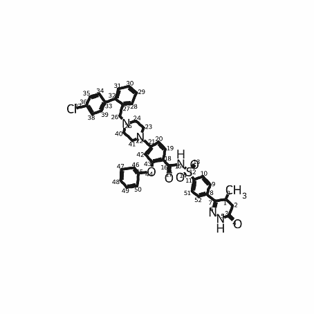 CC1CC(=O)NN=C1c1ccc(S(=O)(=O)NC(=O)c2ccc(N3CCN(Cc4ccccc4-c4ccc(Cl)cc4)CC3)cc2Oc2ccccc2)cc1